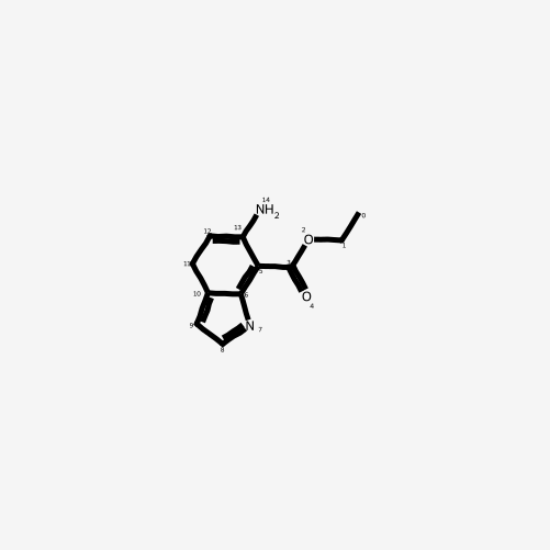 CCOC(=O)C1=C2N=CC=C2CC=C1N